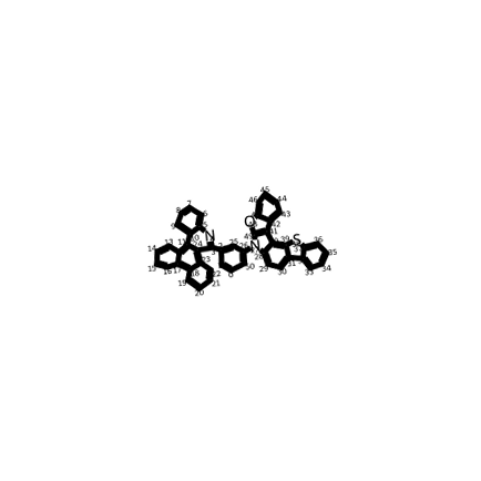 c1cc(-c2nc3ccccc3c3c4ccccc4c4ccccc4c23)cc(-n2c3ccc4c5ccccc5sc4c3c3c4ccccc4oc32)c1